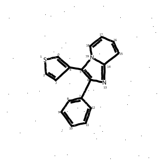 [c]1sccc1-c1c(-c2ccccc2)nc2ccccn12